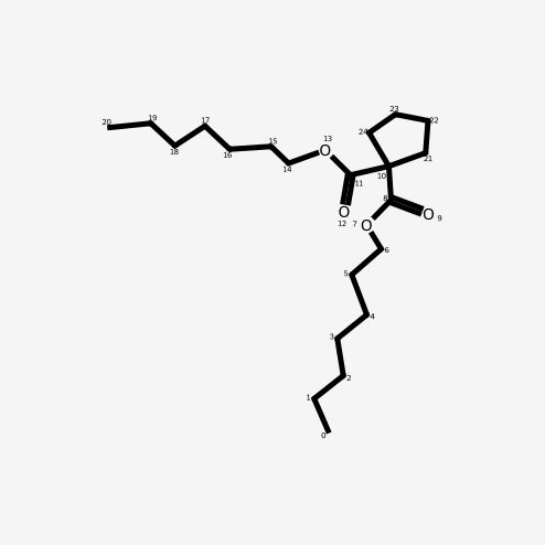 CCCCCCCOC(=O)C1(C(=O)OCCCCCCC)CCCC1